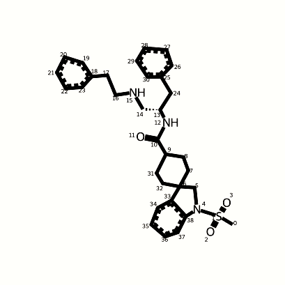 CS(=O)(=O)N1CC2(CCC(C(=O)N[C@H](CNCCc3ccccc3)Cc3ccccc3)CC2)c2ccccc21